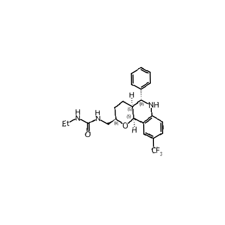 CCNC(=O)NC[C@H]1CC[C@@H]2[C@H](O1)c1cc(C(F)(F)F)ccc1N[C@H]2c1ccccc1